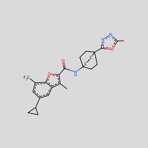 Cc1nnc(C23CCC(NC(=O)c4oc5c(C(F)(F)F)cc(C6CC6)cc5c4C)(CC2)CC3)o1